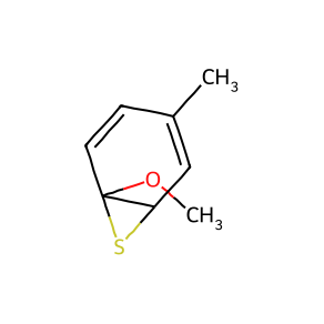 COC12C=CC(C)=CC1S2